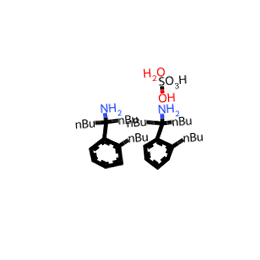 CCCCc1ccccc1C(N)(CCCC)CCCC.CCCCc1ccccc1C(N)(CCCC)CCCC.O.O=S(=O)(O)O